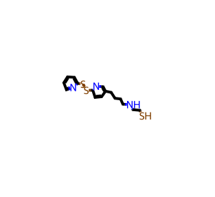 SCCNCCCCc1ccc(SSc2ccccn2)nc1